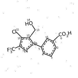 O=C(O)c1cccc(-n2nc(C(F)(F)F)c(Cl)c2CO)c1